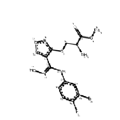 COC(=O)[C@@H](N)CSc1nonc1/C(=N\O)Nc1ccc(F)c(Br)c1